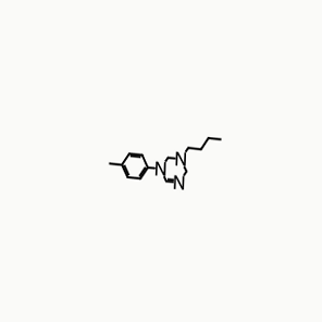 CCCCN1CN=CN(c2ccc(C)cc2)C1